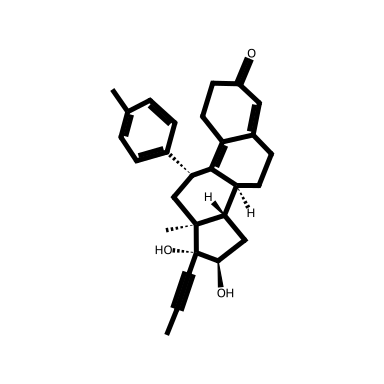 CC#C[C@]1(O)[C@H](O)C[C@H]2[C@@H]3CCC4=CC(=O)CCC4=C3[C@@H](c3ccc(C)cc3)C[C@@]21C